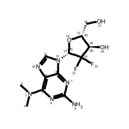 CN(C)c1nc(N)nc2c1ncn2[C@@H]1O[C@H](CO)[C@@H](O)C1(F)F